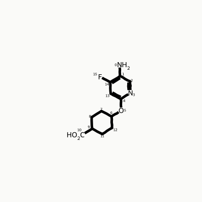 Nc1cnc(OC2CCC(C(=O)O)CC2)cc1F